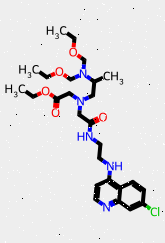 CCOCN(COCC)C(C)CN(CC(=O)NCCNc1ccnc2cc(Cl)ccc12)CC(=O)OCC